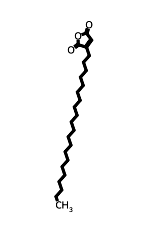 CCCCCCCCCCCCCCCCCCCCCC1=CC(=O)OC1=O